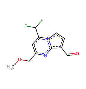 COCc1cc(C(F)F)n2ccc(C=O)c2n1